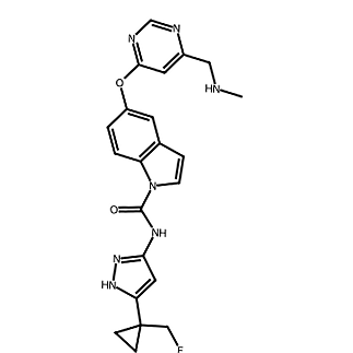 CNCc1cc(Oc2ccc3c(ccn3C(=O)Nc3cc(C4(CF)CC4)[nH]n3)c2)ncn1